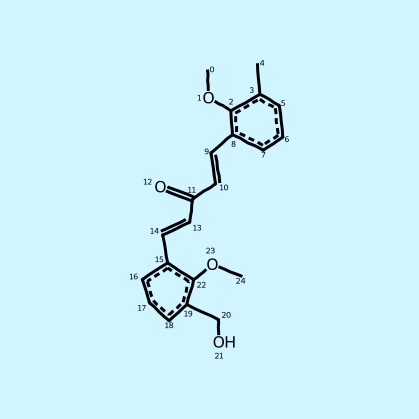 COc1c(C)cccc1/C=C/C(=O)/C=C/c1cccc(CO)c1OC